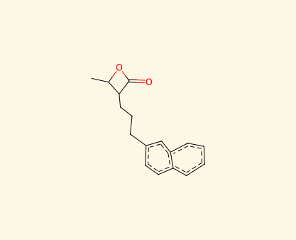 CC1OC(=O)C1CCCc1ccc2ccccc2c1